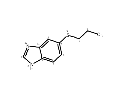 [O]CCSc1ccc2[nH]cnc2c1